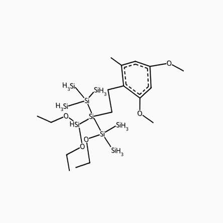 CCO[SiH](OCC)[Si](CCc1c(C)cc(OC)cc1OC)([Si]([SiH3])([SiH3])[SiH3])[Si]([SiH3])([SiH3])OCC